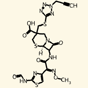 C#CCn1nnc(SCC2(C(=O)O)CS[C@@H]3C(NC(=O)C(=NOC)c4csc(NC=O)n4)C(=O)N3C2)n1